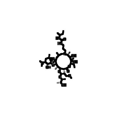 CCC(C)NC(=O)NCCCN1C[C@H](C)C[C@@](C)(O)[C@H](O[C@@H]2O[C@H](C)C[C@H](N(C)C)[C@H]2O)[C@@H](C)[C@H](O[C@@H](CCOC)O[C@@H](C)[C@@H](C)O)[C@@H](C)C(=O)O[C@H](CC)[C@@](C)(O)[C@H](O)[C@H]1C